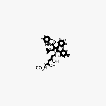 O=C(O)C[C@H](O)C[C@H](O)CCn1c(-c2ccc(F)cc2)c(-c2ccccc2)c(C(=O)Nc2ccccc2)c1C1CC1